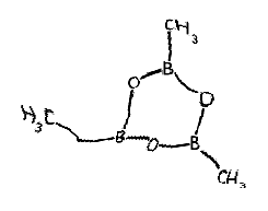 CCB1OB(C)OB(C)O1